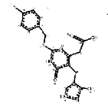 Cc1n[nH]cc1Cc1c(CC(=O)O)nc(SCc2ccc(F)cc2)[nH]c1=O